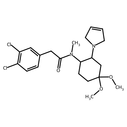 COC1(OC)CCC(N(C)C(=O)Cc2ccc(Cl)c(Cl)c2)C(N2CC=CC2)C1